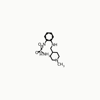 CN1CCC(CNc2ccccc2[N+](=O)[O-])CC1.N[SH](=O)=O